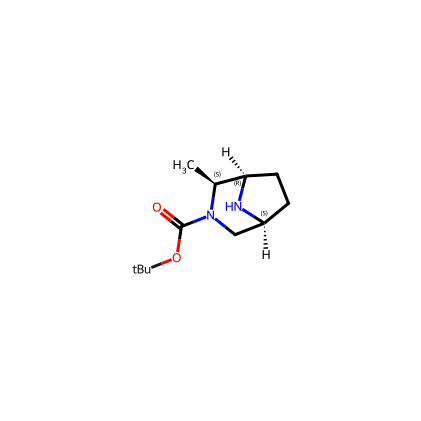 C[C@H]1[C@H]2CC[C@@H](CN1C(=O)OC(C)(C)C)N2